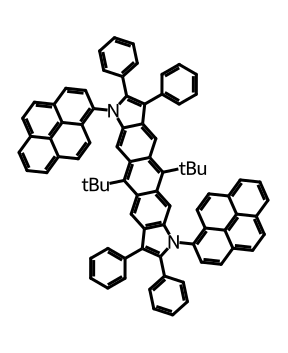 CC(C)(C)c1c2cc3c(-c4ccccc4)c(-c4ccccc4)n(-c4ccc5ccc6cccc7ccc4c5c67)c3cc2c(C(C)(C)C)c2cc3c(-c4ccccc4)c(-c4ccccc4)n(-c4ccc5ccc6cccc7ccc4c5c67)c3cc12